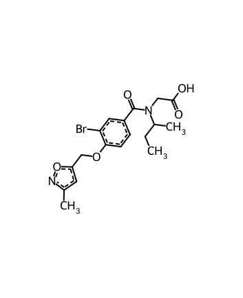 CCC(C)N(CC(=O)O)C(=O)c1ccc(OCc2cc(C)no2)c(Br)c1